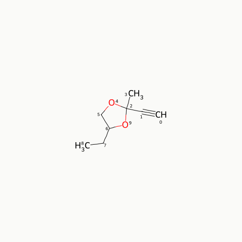 C#CC1(C)OCC(CC)O1